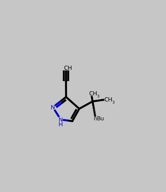 C#Cc1n[nH]cc1C(C)(C)CCCC